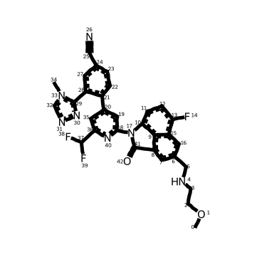 COCCNCc1cc2c3c(ccc(F)c3c1)N(c1cc(-c3ccc(C#N)cc3-c3nncn3C)cc(C(F)F)n1)C2=O